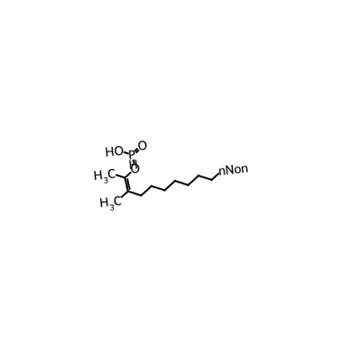 CCCCCCCCCCCCCCCCC(C)=C(C)O[PH](=O)O